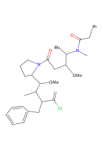 C=C(Cl)C(Cc1ccccc1)C(C)C(OC)C1CCCN1C(=O)CC(OC)C(C(C)CC)N(C)C(=O)CC(C)C